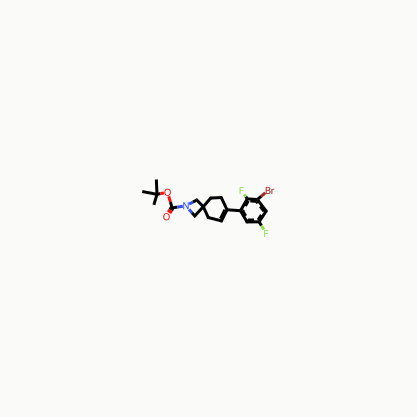 CC(C)(C)OC(=O)N1CC2(CC=C(c3cc(F)cc(Br)c3F)CC2)C1